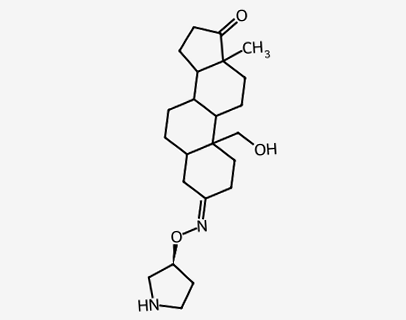 CC12CCC3C(CCC4C/C(=N\O[C@H]5CCNC5)CCC43CO)C1CCC2=O